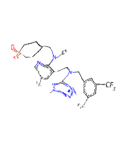 CCN(CC1CCS(=O)(=O)CC1)c1ncc(C(F)(F)F)cc1CN(Cc1cc(C(F)(F)F)cc(C(F)(F)F)c1)c1nnn(C)n1